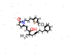 C[C@H](CC#CCCc1ccccc1)[C@@H](O)C=C[C@H]1CCC(=O)N1CCCc1ccc(C(=O)O)s1